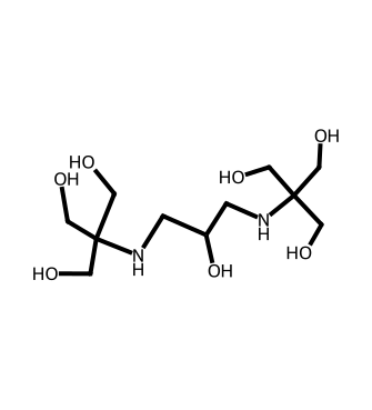 OCC(CO)(CO)NCC(O)CNC(CO)(CO)CO